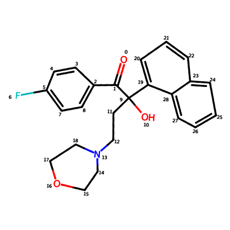 O=C(c1ccc(F)cc1)C(O)(CCN1CCOCC1)c1cccc2ccccc12